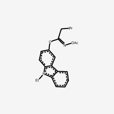 CCn1c2ccccc2c2cc(OC(CC(C)C)=NOC(C)=O)ccc21